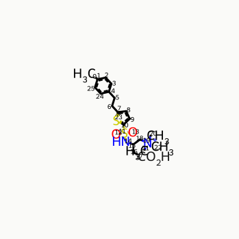 Cc1ccc(CCc2ccc(S(=O)(=O)N[C@H](CC(=O)O)C[N+](C)(C)C)s2)cc1